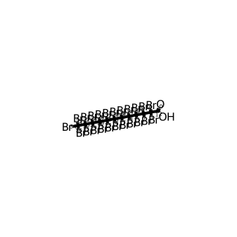 O=C(O)C(Br)(Br)C(Br)(Br)C(Br)(Br)C(Br)(Br)C(Br)(Br)C(Br)(Br)C(Br)(Br)C(Br)(Br)C(Br)(Br)C(Br)(Br)C(Br)(Br)Br